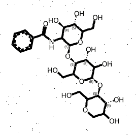 O=C(NC1[C@H](O[C@@H]2C(CO)O[C@H](O[C@@H]3C(CO)OCC(O)[C@H]3O)C(O)[C@H]2O)OC(CO)[C@@H](O)[C@@H]1O)c1ccccc1